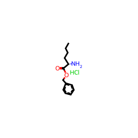 CCCC[C@H](N)C(=O)OCc1ccccc1.Cl